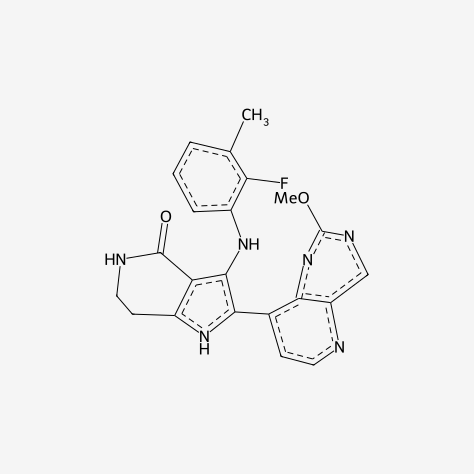 COc1ncc2nccc(-c3[nH]c4c(c3Nc3cccc(C)c3F)C(=O)NCC4)c2n1